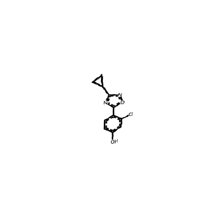 Oc1ccc(-c2nc(C3CC3)no2)c(Cl)c1